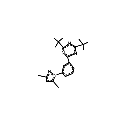 Cc1cc(C)n(-c2cccc(-c3nc(C(C)(C)C)nc(C(C)(C)C)n3)c2)n1